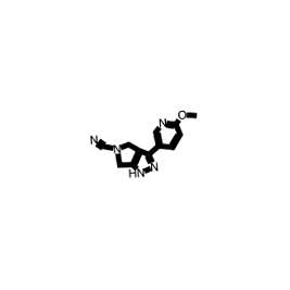 COc1ccc(-c2n[nH]c3c2CN(C#N)C3)cn1